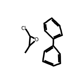 CC1OC1Cl.c1ccc(-c2ccccc2)cc1